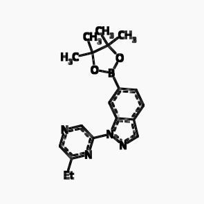 CCc1cncc(-n2ncc3ccc(B4OC(C)(C)C(C)(C)O4)cc32)n1